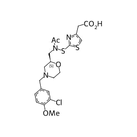 COc1ccc(CN2CCO[C@H](CN(Sc3nc(CC(=O)O)cs3)C(C)=O)C2)cc1Cl